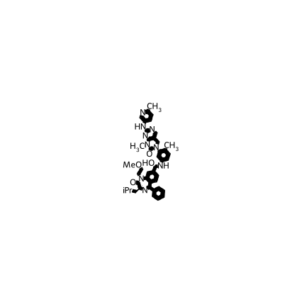 COCCN1C(=O)[C@H](CC(C)C)N=C(c2ccccc2)c2ccc(C(O)Nc3ccc(C)c(N4Cc5cnc(Nc6ccc(C)nc6)nc5N(C)C4=O)c3)cc21